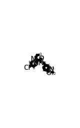 CCc1nc2cc(Cl)ccn2c1C(=O)NCc1ccc2oc(C)nc2c1